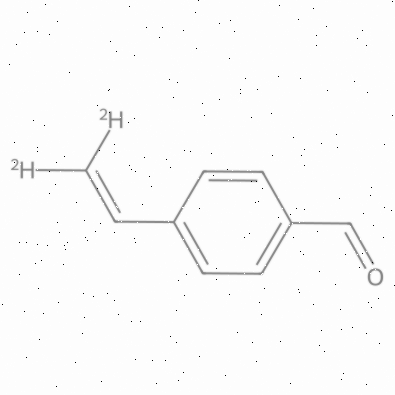 [2H]C([2H])=Cc1ccc(C=O)cc1